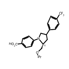 CC(C)OC[C@@H]1CC(c2ccc(C(F)(F)F)cc2)CN1c1ccc(C(=O)O)cc1